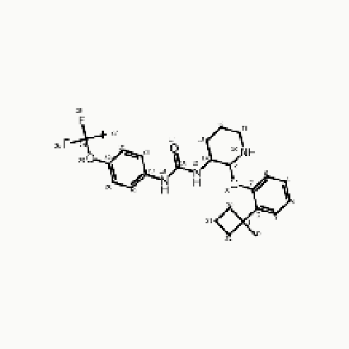 CC1(c2ccccc2OC2NCCCC2NC(=O)Nc2ccc(OC(F)(F)F)cc2)CCC1